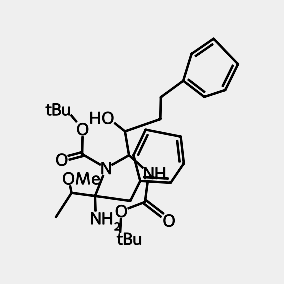 COC(C)C(N)(Cc1ccccc1)N(C(=O)OC(C)(C)C)C(NC(=O)OC(C)(C)C)C(O)CCc1ccccc1